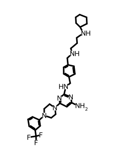 Nc1cc(N2CCN(c3cccc(C(F)(F)F)c3)CC2)nc(NCc2ccc(CNCCCNC3CCCCC3)cc2)n1